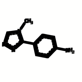 Cn1cnnc1-c1ccc(N)cc1